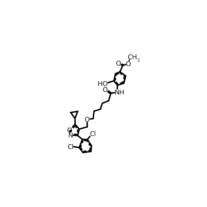 COC(=O)c1ccc(NC(=O)CCCCCOCc2c(-c3c(Cl)cccc3Cl)noc2C2CC2)c(O)c1